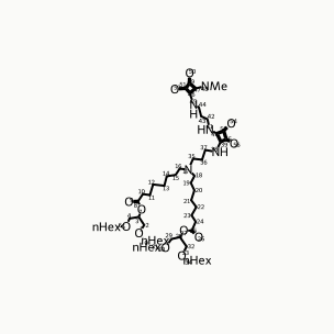 CCCCCCOCC(COCCCCCC)OC(=O)CCCCCCCN(CCCCCCCC(=O)OC(COCCCCCC)COCCCCCC)CCCNc1c(NCCCNc2c(NC)c(=O)c2=O)c(=O)c1=O